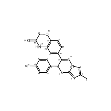 Cc1cn2c(n1)SC(c1ccc(F)cc1)C(c1ccc3c(c1)NC(=O)CO3)=N2